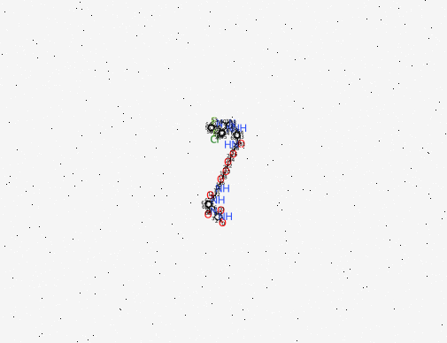 O=C1CCC(N2Cc3c(NC(=O)CCNCCOCCOCCOCCOCCNC(=O)c4ccc(Nc5ncc6c(n5)-c5ccc(Cl)cc5C(c5c(F)cccc5F)=NC6)cc4)cccc3C2=O)C(=O)N1